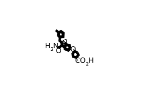 Cc1cccc(Cc2c(C(N)=O)c3ccc(O[C@H]4CC[C@@H](C(=O)O)CC4)cc3n2C)c1